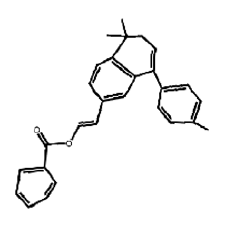 Cc1ccc(C2=CCC(C)(C)c3ccc(C=COC(=O)c4ccccc4)cc32)cc1